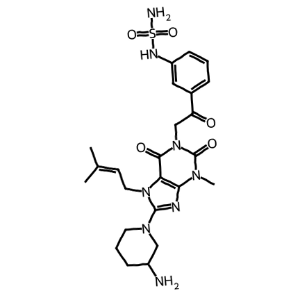 CC(C)=CCn1c(N2CCCC(N)C2)nc2c1c(=O)n(CC(=O)c1cccc(NS(N)(=O)=O)c1)c(=O)n2C